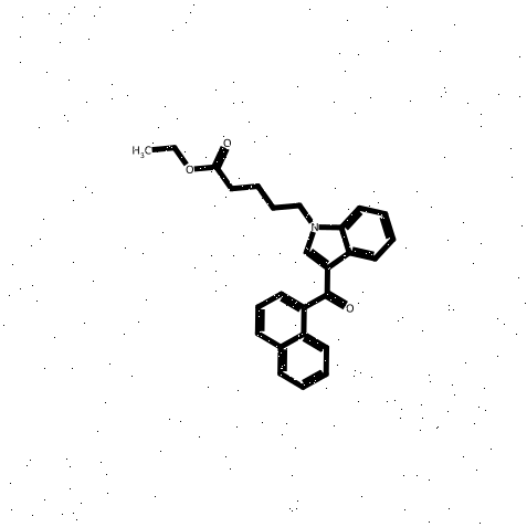 CCOC(=O)CCCCn1cc(C(=O)c2cccc3ccccc23)c2ccccc21